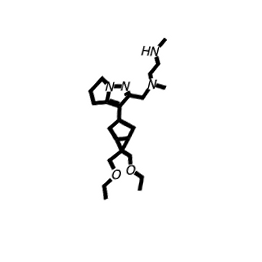 CCOCC1(COCC)C2CC(c3c(CN(C)CCNC)nn4c3CCC4)CC21